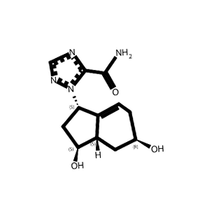 NC(=O)c1ncnn1[C@H]1C[C@H](O)[C@H]2C[C@H](O)CC=C21